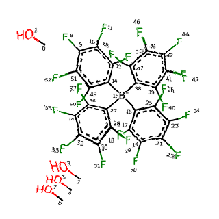 CO.CO.CO.CO.Fc1c(F)c(F)c([B-](c2c(F)c(F)c(F)c(F)c2F)(c2c(F)c(F)c(F)c(F)c2F)c2c(F)c(F)c(F)c(F)c2F)c(F)c1F